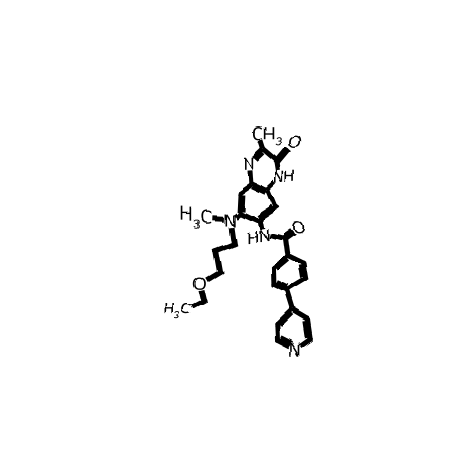 CCOCCCN(C)c1cc2nc(C)c(=O)[nH]c2cc1NC(=O)c1ccc(-c2ccncc2)cc1